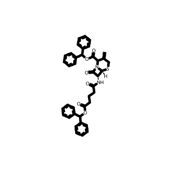 C=C1CS[C@H]2[C@H](NC(=O)CCCC(=O)OC(c3ccccc3)c3ccccc3)C(=O)N2C1C(=O)OC(c1ccccc1)c1ccccc1